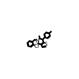 Cc1ccc(C2c3sccc3CN(Cc3ccccc3Cl)C2C)cc1